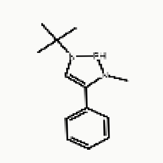 CN1PN(C(C)(C)C)C=C1c1ccccc1